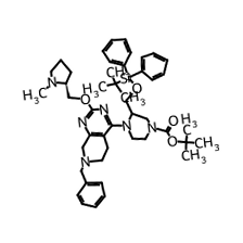 CN1CCC[C@H]1COc1nc2c(c(N3CCN(C(=O)OC(C)(C)C)CC3CO[Si](c3ccccc3)(c3ccccc3)C(C)(C)C)n1)CCN(Cc1ccccc1)C2